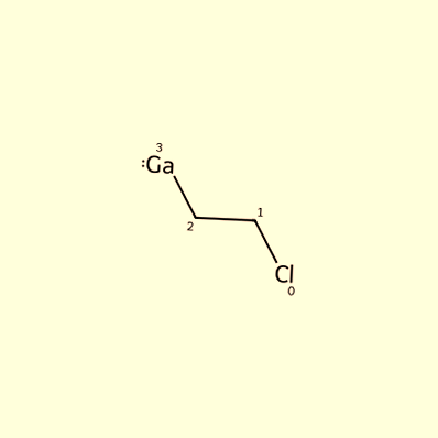 ClC[CH2][Ga]